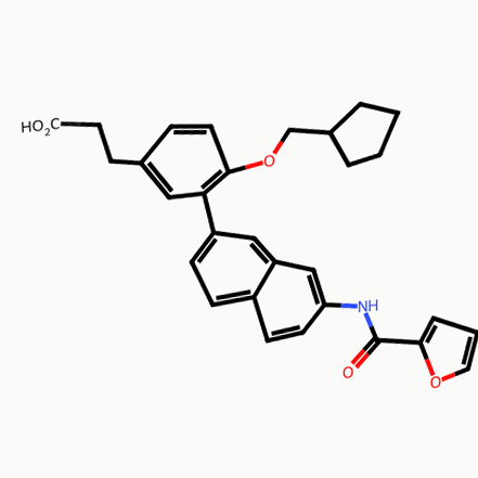 O=C(O)CCc1ccc(OCC2CCCC2)c(-c2ccc3ccc(NC(=O)c4ccco4)cc3c2)c1